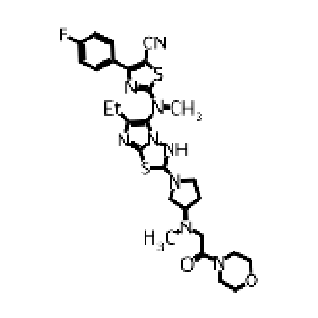 CCc1nc2n(c1N(C)c1nc(-c3ccc(F)cc3)c(C#N)s1)NC(N1CCC(N(C)CC(=O)N3CCOCC3)C1)S2